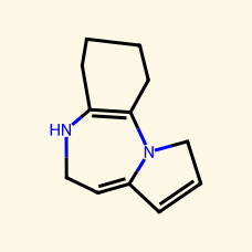 C1=CC2=CCNC3=C(CCCC3)N2C1